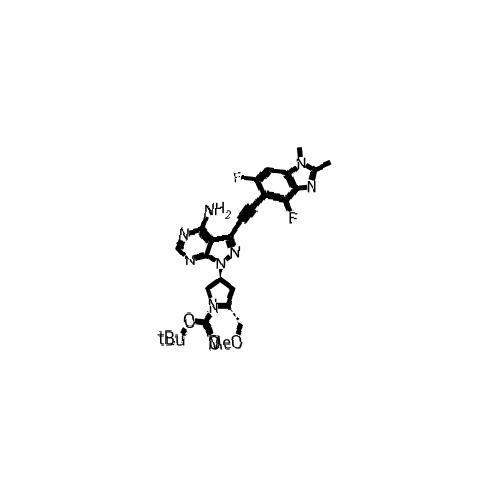 COC[C@H]1C[C@H](n2nc(C#Cc3c(F)cc4c(nc(C)n4C)c3F)c3c(N)ncnc32)CN1C(=O)OC(C)(C)C